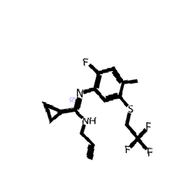 C=CCN/C(=N\c1cc(SCC(F)(F)F)c(C)cc1F)C1CC1